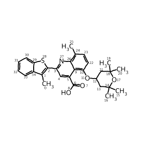 Cc1c(-c2cc(C(=O)O)c3c(OC4CC(C)(C)OC(C)(C)C4)ccc(C)c3n2)sc2ccccc12